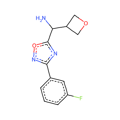 NC(c1nc(-c2cccc(F)c2)no1)C1COC1